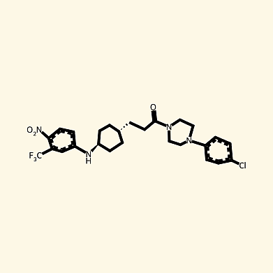 O=C(CC[C@H]1CC[C@H](Nc2ccc([N+](=O)[O-])c(C(F)(F)F)c2)CC1)N1CCN(c2ccc(Cl)cc2)CC1